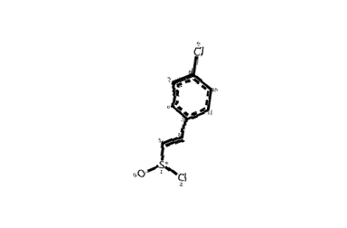 [O-][S+](Cl)C=Cc1ccc(Cl)cc1